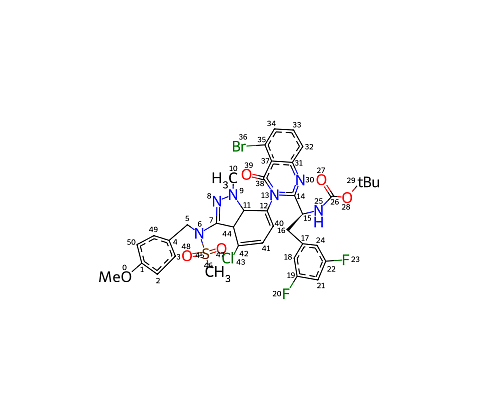 COc1ccc(CN(C2=NN(C)C3C(n4c([C@H](Cc5cc(F)cc(F)c5)NC(=O)OC(C)(C)C)nc5cccc(Br)c5c4=O)=CC=C(Cl)C23)S(C)(=O)=O)cc1